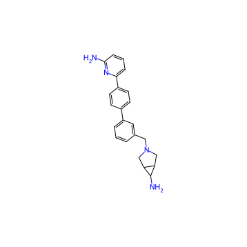 Nc1cccc(-c2ccc(-c3cccc(CN4CC5C(N)C5C4)c3)cc2)n1